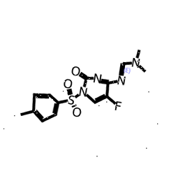 Cc1ccc(S(=O)(=O)n2cc(F)c(/N=C/N(C)C)nc2=O)cc1